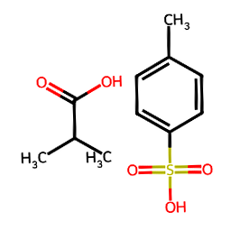 CC(C)C(=O)O.Cc1ccc(S(=O)(=O)O)cc1